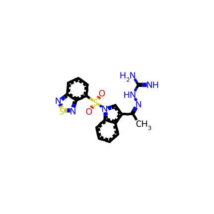 C/C(=N/NC(=N)N)c1cn(S(=O)(=O)c2cccc3nsnc23)c2ccccc12